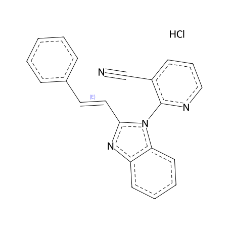 Cl.N#Cc1cccnc1-n1c(/C=C/c2ccccc2)nc2ccccc21